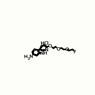 Cl.Nc1ccc2c(c1)[nH]c1nc(OCCOCCOCCF)ccc12